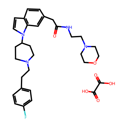 O=C(Cc1ccc2ccn(C3CCN(CCc4ccc(F)cc4)CC3)c2c1)NCCN1CCOCC1.O=C(O)C(=O)O